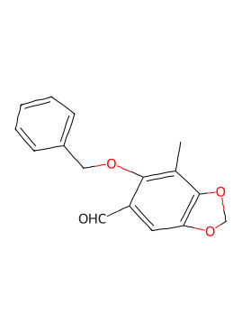 Cc1c(OCc2ccccc2)c(C=O)cc2c1OCO2